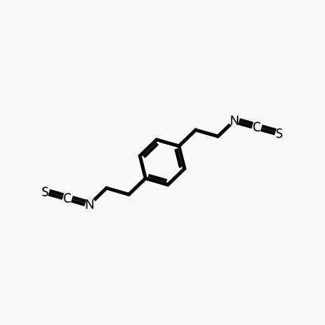 S=C=NCCc1ccc(CCN=C=S)cc1